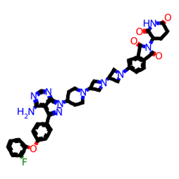 Nc1ncnc2c1c(-c1ccc(Oc3ccccc3F)cc1)nn2C1CCN(C2CN(C3CN(c4ccc5c(c4)C(=O)N(C4CCC(=O)NC4=O)C5=O)C3)C2)CC1